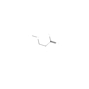 C=C(N)[C@H](C)CNCCC